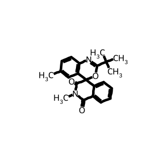 Cc1ccc2c(c1)C1(OC(C(C)(C)C)=N2)C(=O)N(C)C(=O)c2ccccc21